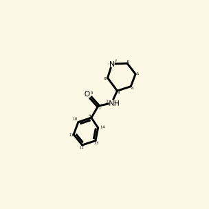 O=C(NC1CCC[N]C1)c1ccccc1